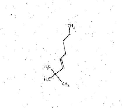 [CH2]CCCC=CC(C)(C)C